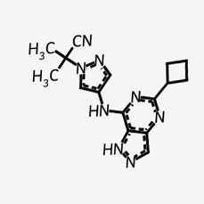 CC(C)(C#N)n1cc(Nc2nc(C3CCC3)nc3cn[nH]c23)cn1